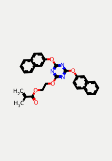 C=C(C)C(=O)OCCOc1nc(Oc2ccc3ccccc3c2)nc(Oc2ccc3ccccc3c2)n1